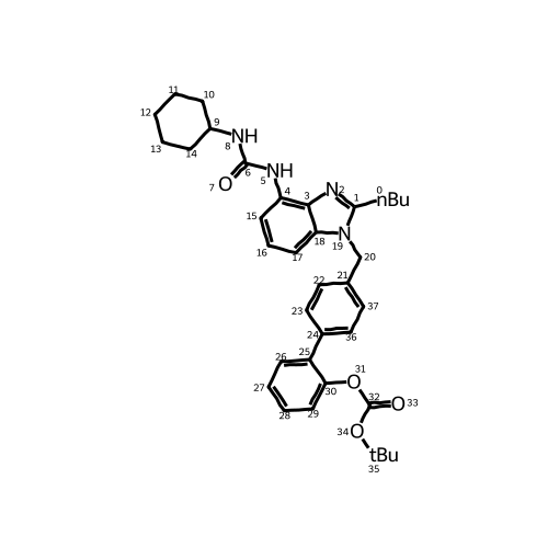 CCCCc1nc2c(NC(=O)NC3CCCCC3)cccc2n1Cc1ccc(-c2ccccc2OC(=O)OC(C)(C)C)cc1